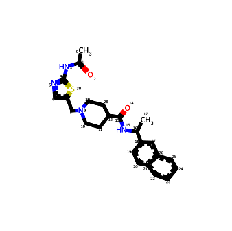 CC(=O)Nc1ncc(CN2CCC(C(=O)NC(C)c3ccc4ccccc4c3)CC2)s1